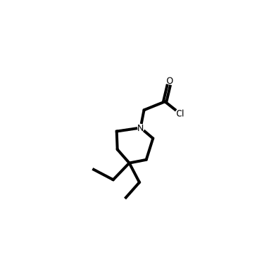 CCC1(CC)CCN(CC(=O)Cl)CC1